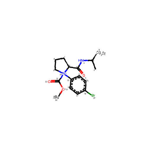 CCOC(=O)C(C)NC(=O)C1CCC[N+]1(C(=O)OC(C)(C)C)c1ccc(Br)cc1